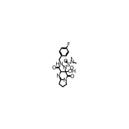 CN(C)S(=O)(=O)N(C)C1(O)C(=O)N2CCCC2=NC1C(=O)NCc1ccc(F)cc1